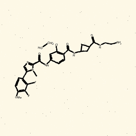 COc1ccc(-c2cnc(C(=O)Nc3ccc(C(=O)NC4CC(C(=O)NCCN)C4)c(Cl)c3)n2C)c(F)c1F.O=CO